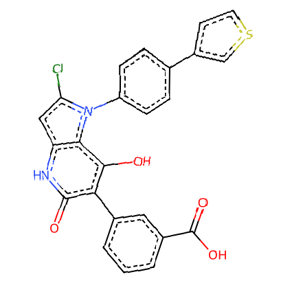 O=C(O)c1cccc(-c2c(O)c3c(cc(Cl)n3-c3ccc(-c4ccsc4)cc3)[nH]c2=O)c1